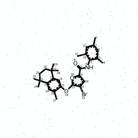 Cc1cc(C)c(NC(=O)c2cc(Br)c(Oc3cc4c(cc3C)C(C)(C)CCC4(C)C)o2)c(C)c1